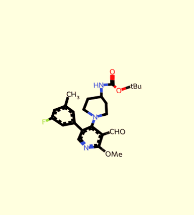 COc1ncc(-c2cc(C)cc(F)c2)c(N2CCC(NC(=O)OC(C)(C)C)CC2)c1C=O